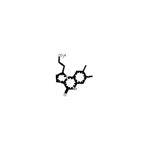 Cc1cc2[nH]c(=O)c3ccc(CCC(=O)O)n3c2cc1C